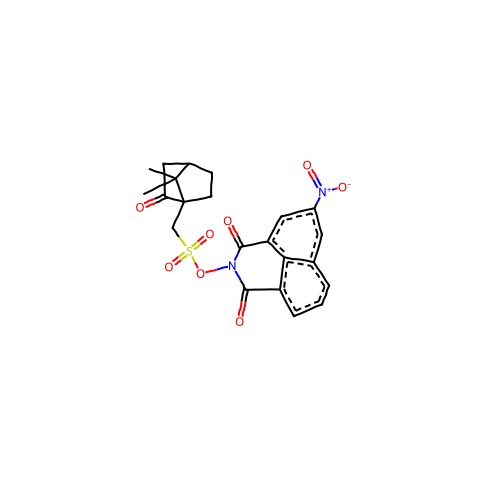 CC1(C)C2CCC1(CS(=O)(=O)ON1C(=O)c3cccc4cc([N+](=O)[O-])cc(c34)C1=O)C(=O)C2